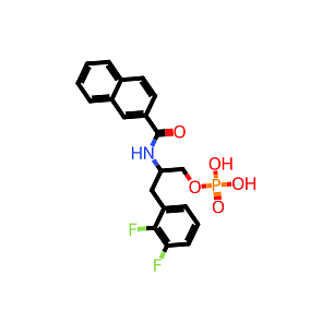 O=C(NC(COP(=O)(O)O)Cc1cccc(F)c1F)c1ccc2ccccc2c1